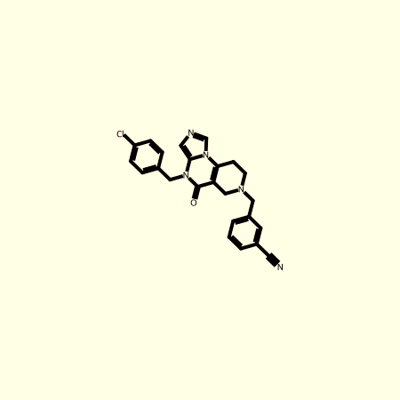 N#Cc1cccc(CN2CCc3c(c(=O)n(Cc4ccc(Cl)cc4)c4cncn34)C2)c1